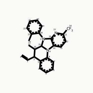 C=CC1c2ccccc2N2c3ccc(C(F)(F)F)nc3N(c3ccccc3C)C2C1C